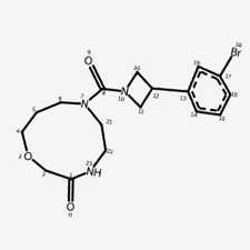 O=C1COCCCN(C(=O)N2CC(c3cccc(Br)c3)C2)CCN1